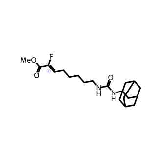 COC(=O)/C(F)=C/CCCCCNC(=O)NC12CC3CC(CC(C3)C1)C2